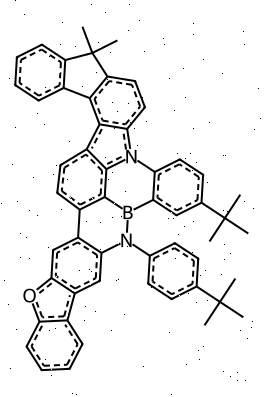 CC(C)(C)c1ccc(N2B3c4cc(C(C)(C)C)ccc4-n4c5ccc6c(c5c5ccc(c3c54)-c3cc4oc5ccccc5c4cc32)-c2ccccc2C6(C)C)cc1